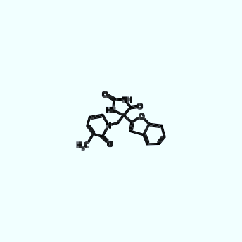 Cc1cccn(CC2(c3cc4ccccc4o3)NC(=O)NC2=O)c1=O